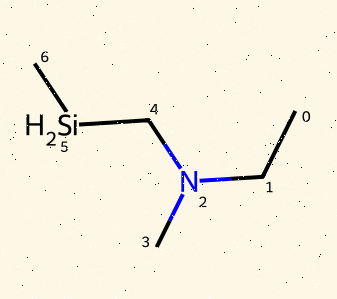 CCN(C)C[SiH2]C